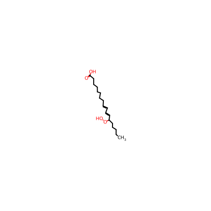 CCCCCC(C=CC=CCCCCCCCC(=O)O)OO